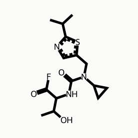 CC(C)c1ncc(CN(C(=O)NC(C(=O)F)C(C)O)C2CC2)s1